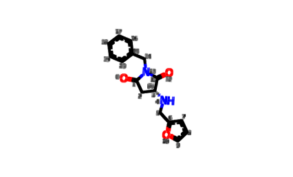 O=C1C[C@@H](NCc2ccco2)C(=O)N1Cc1ccccc1